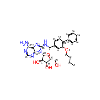 CCCCOc1cc(CNc2nc3c(N)ncnc3n2[C@@H]2O[C@H](CO)[C@@H](O)[C@H]2O)ccc1-c1ccccc1